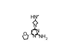 CNC1CN(c2cc([C@@H]3CCCO3)nc(N)n2)C1